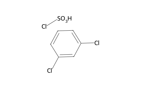 Clc1cccc(Cl)c1.O=S(=O)(O)Cl